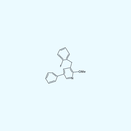 COc1ncc(-c2ccccc2)cc1Cc1ccccc1F